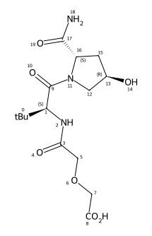 CC(C)(C)[C@H](NC(=O)COCC(=O)O)C(=O)N1C[C@H](O)C[C@H]1C(N)=O